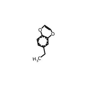 CCc1ccc2c(c1)OC=CO2